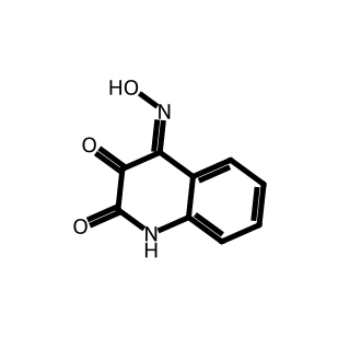 O=C1Nc2ccccc2C(=NO)C1=O